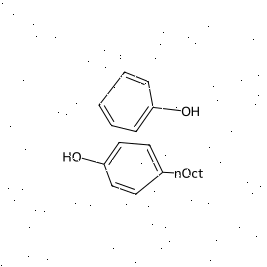 CCCCCCCCc1ccc(O)cc1.Oc1ccccc1